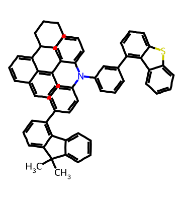 CC1(C)c2ccccc2-c2c(-c3ccc(N(c4cccc(-c5cccc6sc7ccccc7c56)c4)c4ccccc4-c4cccc5cccc(C6CCCCC6)c45)cc3)cccc21